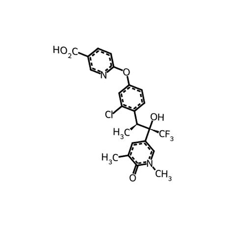 Cc1cc([C@@](O)([C@@H](C)c2ccc(Oc3ccc(C(=O)O)cn3)cc2Cl)C(F)(F)F)cn(C)c1=O